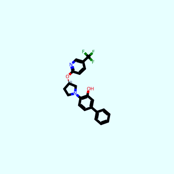 Oc1cc(-c2ccccc2)ccc1N1CC[C@H](Oc2ccc(C(F)(F)F)cn2)C1